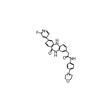 O=C(Cc1ccc2c(c1)NC(=O)c1ccc(-c3ccnc(F)c3)cc1N2)Nc1ccc(N2CCOCC2)cc1